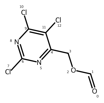 O=COCc1nc(Cl)nc(Cl)c1Cl